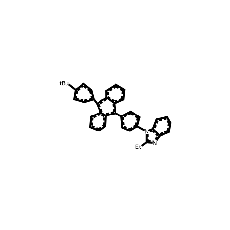 CCc1nc2ccccc2n1-c1ccc(-c2c3ccccc3c(-c3ccc(C(C)(C)C)cc3)c3ccccc23)cc1